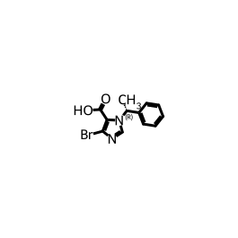 C[C@H](c1ccccc1)n1cnc(Br)c1C(=O)O